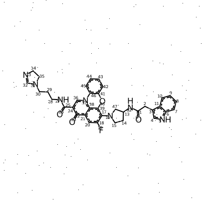 O=C(Cc1c[nH]c2ccccc12)NC1CCN(c2c(F)cc3c(=O)c(C(=O)NCCCN4C=NCC4)cn4c3c2Oc2ccccc2-4)C1